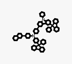 c1ccc(-n2c3ccc(-c4ccc(N(c5ccc(-c6ccc7ccccc7c6)cc5)c5ccc(C6(c7ccccc7)c7ccccc7-c7ccccc76)cc5)cc4)cc3c3cc(C4(c5ccccc5)c5ccccc5-c5ccccc54)ccc32)cc1